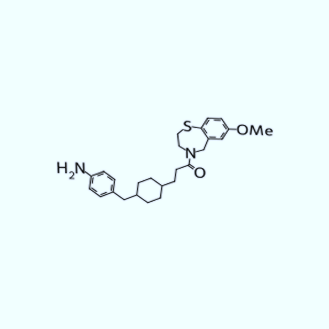 COc1ccc2c(c1)CN(C(=O)CCC1CCC(Cc3ccc(N)cc3)CC1)CCS2